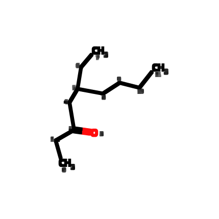 C[CH]C(=O)CC(CC)CCCC